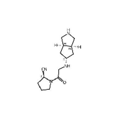 N#C[C@@H]1CCCN1C(=O)CN[C@@H]1C[C@H]2CNC[C@H]2C1